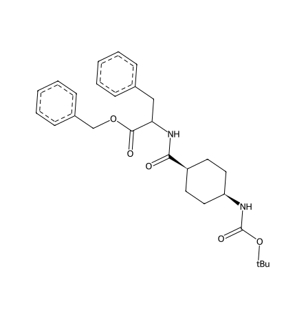 CC(C)(C)OC(=O)N[C@H]1CC[C@@H](C(=O)NC(Cc2ccccc2)C(=O)OCc2ccccc2)CC1